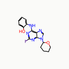 Oc1ccccc1Nc1nc(I)nc2c1ncn2C1CCCCO1